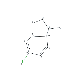 CC1CCc2cc(F)ccc21